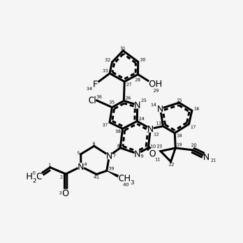 C=CC(=O)N1CCN(c2nc(=O)n(-c3ncccc3C3(C#N)CC3)c3nc(-c4c(O)cccc4F)c(Cl)cc23)[C@@H](C)C1